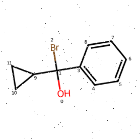 OC(Br)(c1ccccc1)C1CC1